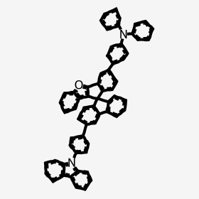 c1ccc(N(c2ccccc2)c2ccc(-c3ccc4c(c3)-c3oc5ccccc5c3C43c4ccccc4-c4cc(-c5ccc(-n6c7ccccc7c7ccccc76)cc5)ccc43)cc2)cc1